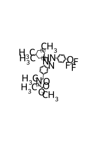 COC(=O)[C@H](C)N(C)C(=O)c1ccc2c(c1)nc(Nc1ccc(OC(F)(F)F)cc1)n2[C@H]1C[C@@H](C)CC(C)(C)C1